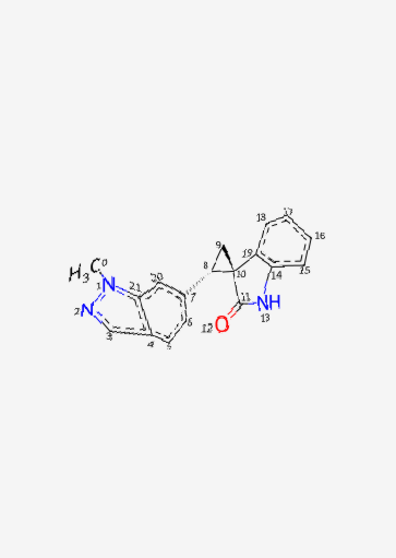 Cn1ncc2ccc([C@@H]3C[C@@]34C(=O)Nc3ccccc34)cc21